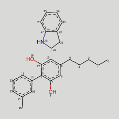 CCCCCc1cc(O)c(-c2cccc(C)c2)c(O)c1C1Cc2ccccc2N1